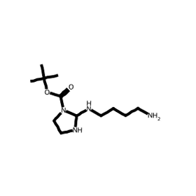 CC(C)(C)OC(=O)N1CCNC1NCCCCN